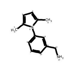 Cc1[c]cc(C)n1-c1cccc(CN)c1